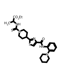 CCOC(=O)C(C)NC(=S)N1CCC(c2nc(C(=O)Nc3ccccc3N3CCCCC3)cs2)CC1